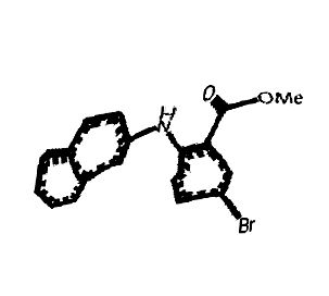 COC(=O)c1cc(Br)ccc1Nc1ccc2ccccc2c1